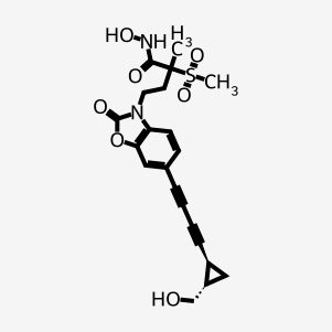 CC(CCn1c(=O)oc2cc(C#CC#C[C@H]3C[C@@H]3CO)ccc21)(C(=O)NO)S(C)(=O)=O